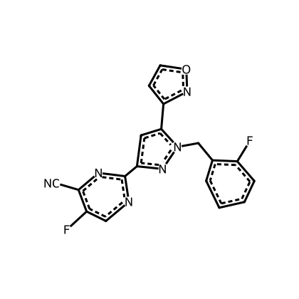 N#Cc1nc(-c2cc(-c3ccon3)n(Cc3ccccc3F)n2)ncc1F